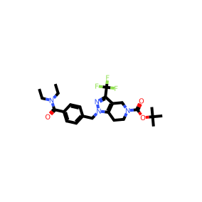 CCN(CC)C(=O)c1ccc(Cn2nc(C(F)(F)F)c3c2CCN(C(=O)OC(C)(C)C)C3)cc1